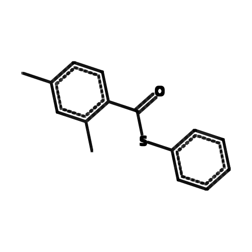 Cc1ccc(C(=O)Sc2ccccc2)c(C)c1